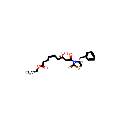 O=C(CC/C=C\C[C@@H](O)CC(=O)N1C(=S)SC[C@H]1Cc1ccccc1)OCC(Cl)(Cl)Cl